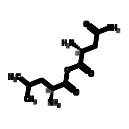 CC(C)C[C@@H](N)C(=O)OC(=O)[C@H](N)CC(N)=O